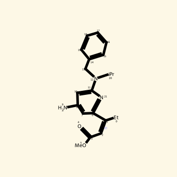 CC/C(=C/C(=O)OC)c1cc(N)cc(N(Cc2ccccc2)C(C)C)n1